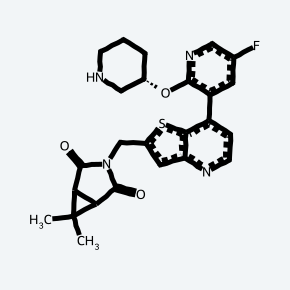 CC1(C)C2C(=O)N(Cc3cc4nccc(-c5cc(F)cnc5O[C@H]5CCCNC5)c4s3)C(=O)C21